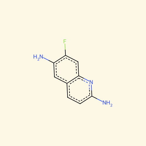 Nc1ccc2cc(N)c(F)cc2n1